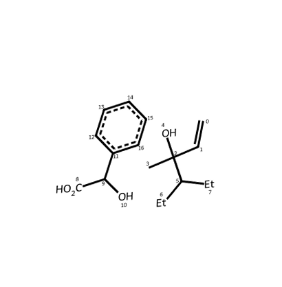 C=CC(C)(O)C(CC)CC.O=C(O)C(O)c1ccccc1